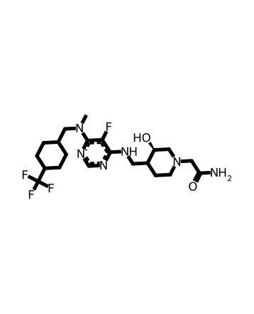 CN(CC1CCC(C(F)(F)F)CC1)c1ncnc(NCC2CCN(CC(N)=O)C[C@@H]2O)c1F